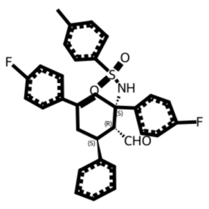 Cc1ccc(S(=O)(=O)N[C@@]2(c3ccc(F)cc3)C=C(c3ccc(F)cc3)C[C@H](c3ccccc3)[C@H]2C=O)cc1